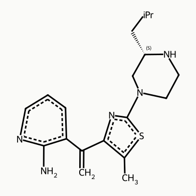 C=C(c1cccnc1N)c1nc(N2CCN[C@@H](CC(C)C)C2)sc1C